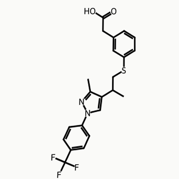 Cc1nn(-c2ccc(C(F)(F)F)cc2)cc1C(C)CSc1cccc(CC(=O)O)c1